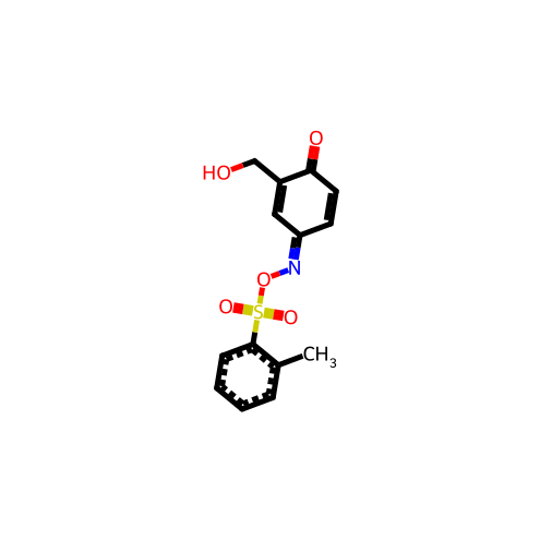 Cc1ccccc1S(=O)(=O)ON=C1C=CC(=O)C(CO)=C1